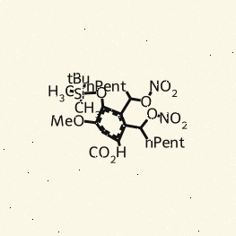 CCCCCC(O[N+](=O)[O-])c1c(C(=O)O)cc(OC)c(O[Si](C)(C)C(C)(C)C)c1C(CCCCC)O[N+](=O)[O-]